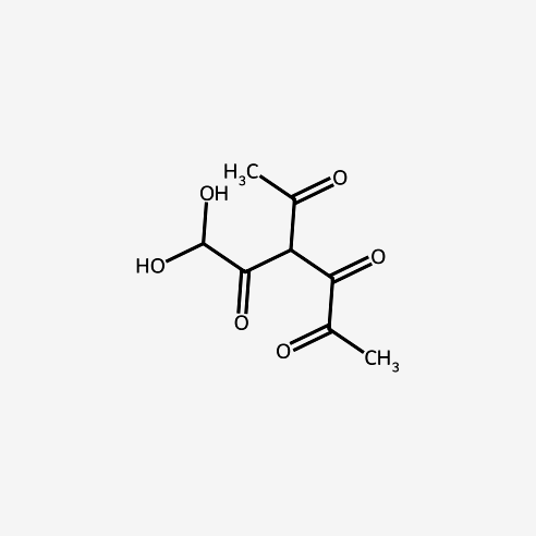 CC(=O)C(=O)C(C(C)=O)C(=O)C(O)O